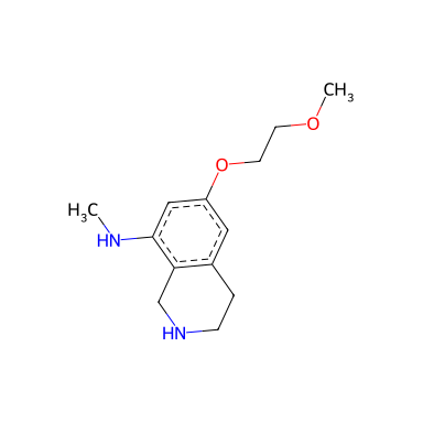 CNc1cc(OCCOC)cc2c1CNCC2